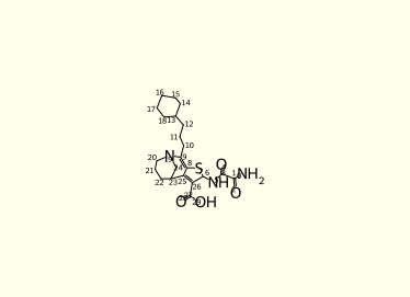 NC(=O)C(=O)NC1SC2=C(CCCC3CCCCC3)N3CCCC(C3)C2=C1C(=O)O